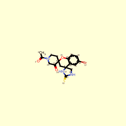 CC(=O)N1CCC2(CC3(CNC(=S)N3)c3cc(Br)ccc3O2)C(=O)C1